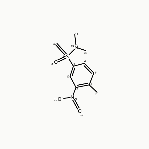 C=S(=O)(c1ccc(C)c([N+](=O)[O-])c1)N(C)C